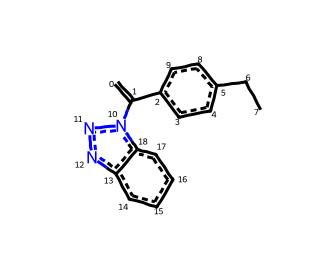 C=C(c1ccc(CC)cc1)n1nnc2ccccc21